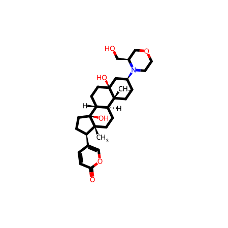 C[C@]12CC[C@H](N3CCOC[C@@H]3CO)C[C@@]1(O)CC[C@@H]1[C@@H]2CC[C@]2(C)[C@@H](c3ccc(=O)oc3)CC[C@]12O